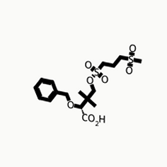 CC(C)(COS(=O)(=O)CCCS(C)(=O)=O)[C@@H](OCc1ccccc1)C(=O)O